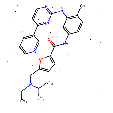 CCN(Cc1ccc(C(=O)Nc2ccc(C)c(Nc3nccc(-c4cccnc4)n3)c2)o1)C(C)C